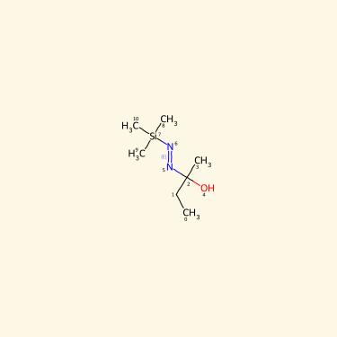 CCC(C)(O)/N=N/[Si](C)(C)C